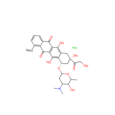 COc1cccc2c1C(=O)c1c(O)c3c(c(O)c1C2=O)C[C@@](O)(C(=O)CO)C[C@@H]3OC1CC(N(C)C)C(O)C(C)O1.Cl